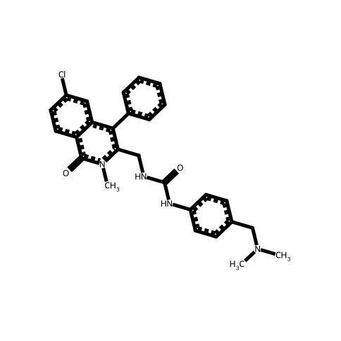 CN(C)Cc1ccc(NC(=O)NCc2c(-c3ccccc3)c3cc(Cl)ccc3c(=O)n2C)cc1